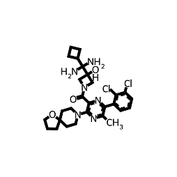 Cc1nc(N2CCC3(CCCO3)CC2)c(C(=O)N2CC(O)(C(N)(N)C3CCC3)C2)nc1-c1cccc(Cl)c1Cl